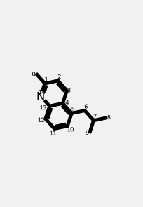 Cc1ccc2c(CC(C)C)cccc2n1